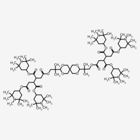 CN1C(C)(C)CC(OC(=O)CC(C(=O)OC2CC(C)(C)N(C)C(C)(C)C2)C(CC(=O)OCC(C)(C)C2OCC3(CO2)COC(C(C)(C)COC(=O)CC(C(=O)OC2CC(C)(C)N(C)C(C)(C)C2)C(CC(=O)OC2CC(C)(C)N(C)C(C)(C)C2)C(=O)OC2CC(C)(C)N(C)C(C)(C)C2)OC3)C(=O)OC2CC(C)(C)N(C)C(C)(C)C2)CC1(C)C